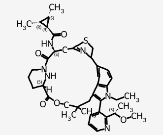 CCn1c(-c2cccnc2[C@H](C)OC)c2c3cc(ccc31)C1CSC(=N1)C[C@H](NC(=O)[C@H]1[C@H](C)[C@@H]1C)C(=O)N1CCC[C@H](N1)C(=O)OCC(C)(C)C2